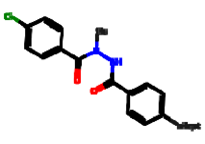 CCCCCCCc1ccc(C(=O)NN(C(=O)c2ccc(Cl)cc2)C(C)(C)C)cc1